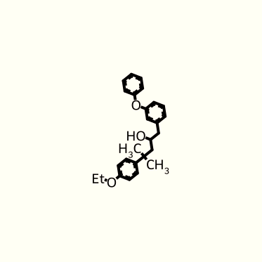 CCOc1ccc(C(C)(C)CC(O)Cc2cccc(Oc3ccccc3)c2)cc1